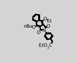 CCCCOc1c2c(c(OCC)c3ccccc13)C(=O)N(c1ccc(CC(=O)OCC)cc1)C2=O